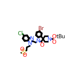 CC(C)(C)OC(=O)N1CCC2(CC1)C(=O)N(Cc1nc3cc(Cl)ccc3n1CCCS(C)(=O)=O)c1ccc(Br)cc12